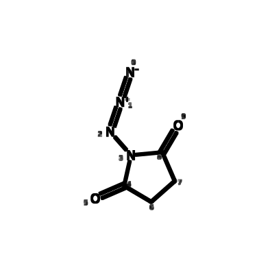 [N-]=[N+]=NN1C(=O)CCC1=O